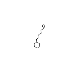 ClCCCCCC[C@H]1C=CCCC1